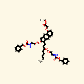 CCCCCC(CCC1C(OOCCNC(=O)OCc2ccccc2)CC2Cc3c(cccc3OCC(=O)OC)CC21)OOCCNC(=O)OCc1ccccc1